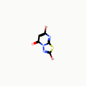 O=c1cc(Br)nc2sc(Br)nn12